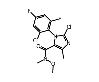 CON(C)C(=O)c1c(C)nc(Cl)n1-c1c(F)cc(F)cc1Cl